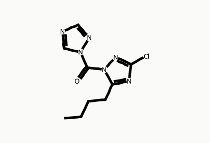 CCCCc1nc(Cl)nn1C(=O)n1cncn1